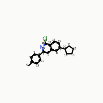 Cc1ccc(-c2cc3cc(C4CCCC4)ccc3c(Cl)n2)cc1